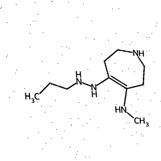 CCCNNC1=C(NC)CCNCC1